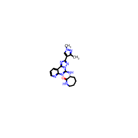 Cc1nn(C)cc1-c1nc2c3cccnc3nc(N[C@@H]3CCCCNC3=O)n2n1